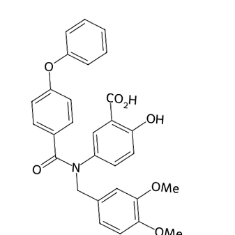 COc1ccc(CN(C(=O)c2ccc(Oc3ccccc3)cc2)c2ccc(O)c(C(=O)O)c2)cc1OC